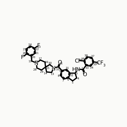 O=C(NC1CCc2ccc(C(=O)N3CCC4(CCN(Cc5cc(F)ccc5F)CC4)C3)cc21)c1cc(C(F)(F)F)ccc1Cl